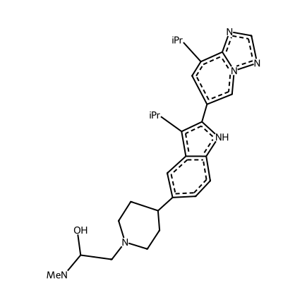 CNC(O)CN1CCC(c2ccc3[nH]c(-c4cc(C(C)C)c5ncnn5c4)c(C(C)C)c3c2)CC1